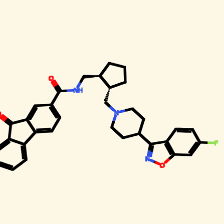 O=C(NC[C@H]1CCC[C@@H]1CN1CCC(c2noc3cc(F)ccc23)CC1)c1ccc2c(c1)C(=O)c1ccccc1-2